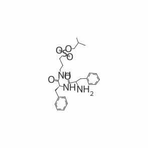 CC(C)COS(=O)(=O)CCCNC(=O)[C@H](Cc1ccccc1)NC(=O)C(N)Cc1ccccc1